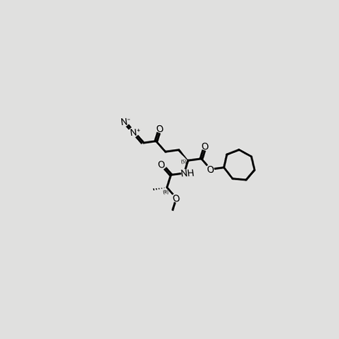 CO[C@H](C)C(=O)N[C@@H](CCC(=O)C=[N+]=[N-])C(=O)OC1CCCCCC1